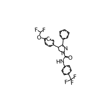 O=C(Nc1ccc(C(F)(F)F)cc1)N1CC(c2ccc(OC(F)F)cc2)C(c2ccccc2)=N1